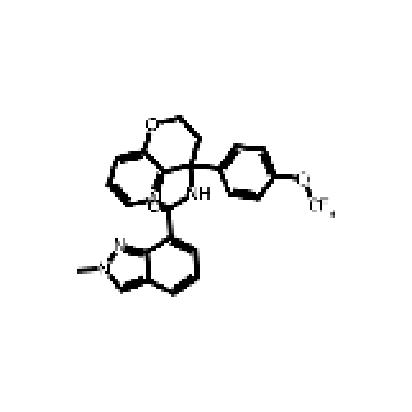 Cn1cc2cccc(C(=O)NC3(c4ccc(OC(F)(F)F)cc4)CCOc4cccnc43)c2n1